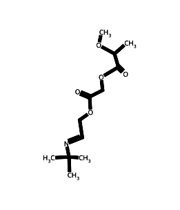 COC(C)C(=O)OCC(=O)OC/C=N/C(C)(C)C